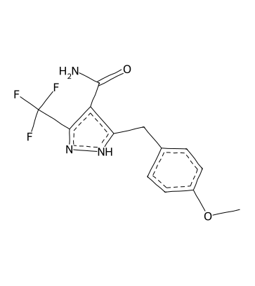 COc1ccc(Cc2[nH]nc(C(F)(F)F)c2C(N)=O)cc1